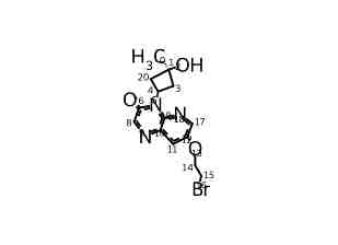 C[C@]1(O)C[C@@H](n2c(=O)cnc3cc(OCCBr)cnc32)C1